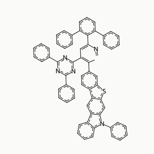 C=N/C(=C\C(=C(/C)c1ccc2c(c1)sc1cc3c(cc12)c1ccccc1n3-c1ccccc1)c1nc(-c2ccccc2)nc(-c2ccccc2)n1)c1c(-c2ccccc2)cccc1-c1ccccc1